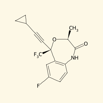 C[C@@H]1O[C@](C#CC2CC2)(C(F)(F)F)c2cc(F)ccc2NC1=O